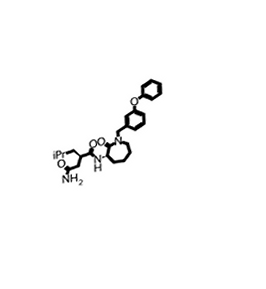 CC(C)C[C@H](CC(N)=O)C(=O)N[C@H]1CCCCN(Cc2cccc(Oc3ccccc3)c2)C1=O